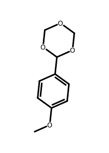 COc1ccc(C2OCOCO2)cc1